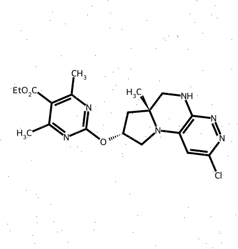 CCOC(=O)c1c(C)nc(O[C@H]2CN3c4cc(Cl)nnc4NC[C@@]3(C)C2)nc1C